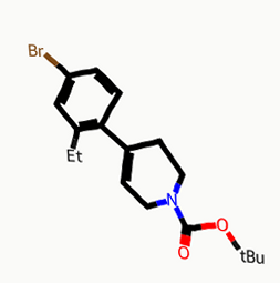 CCc1cc(Br)ccc1C1=CCN(C(=O)OC(C)(C)C)CC1